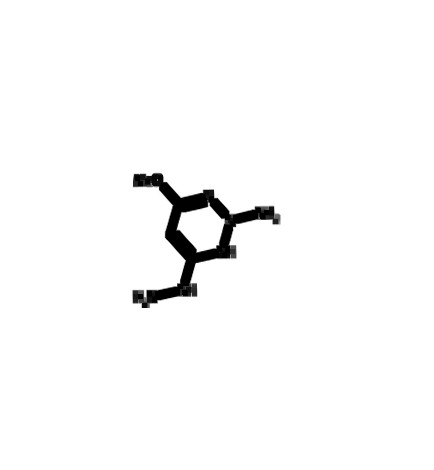 COC1=NN(N)NC(NN)=C1